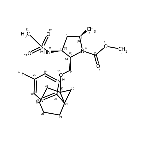 COC(=O)N1[C@H](C)C[C@H](NS(C)(=O)=O)[C@@H]1COC12CCCCC1(c1ncc(F)cn1)C2